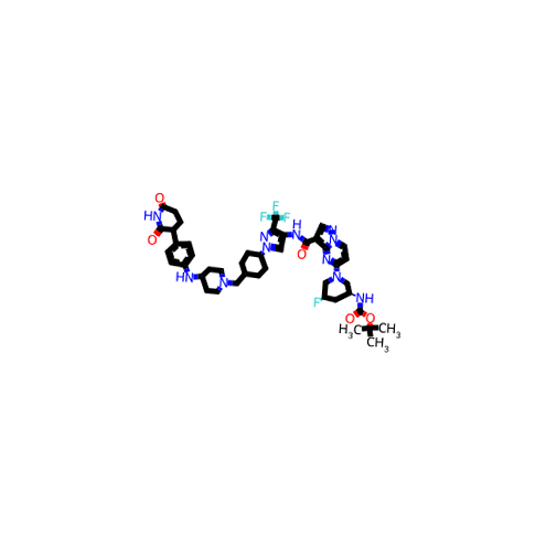 CC(C)(C)OC(=O)N[C@@H]1C[C@@H](F)CN(c2ccn3ncc(C(=O)Nc4cn(C5CCC(CN6CCC(Nc7ccc(C8CCC(=O)NC8=O)cc7)CC6)CC5)nc4C(F)(F)F)c3n2)C1